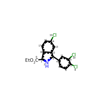 CCOC(=O)c1[nH]c(-c2ccc(Cl)c(Cl)c2)c2cc(Cl)ccc12